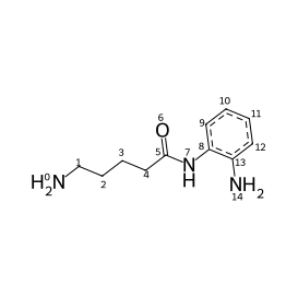 NCCCCC(=O)Nc1ccccc1N